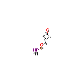 [3H]PSOCC1CC(=O)C1